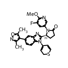 COc1ncc(N2C(=O)CC[C@H]2c2nc3cc(-c4c(C)noc4C)ccc3n2C2=CCSC=C2)cc1F